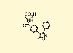 Cc1onc(-c2ccccc2)c1-c1ccc(C(=O)NCC(=O)O)cc1